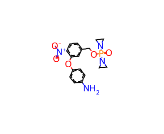 Nc1ccc(Oc2cc(COP(=O)(N3CC3)N3CC3)ccc2[N+](=O)[O-])cc1